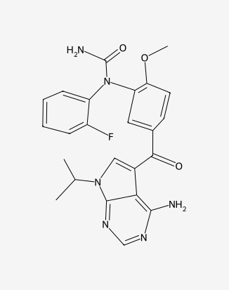 COc1ccc(C(=O)c2cn(C(C)C)c3ncnc(N)c23)cc1N(C(N)=O)c1ccccc1F